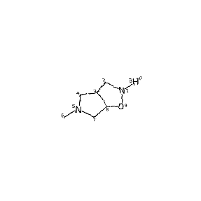 [3H]N1CC2CN(C)CC2O1